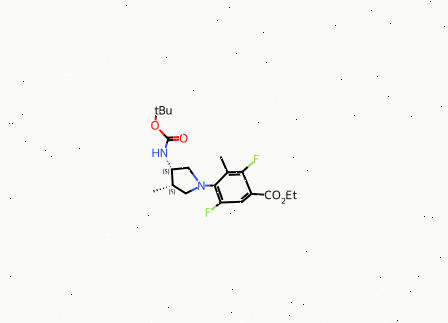 CCOC(=O)c1cc(F)c(N2C[C@H](C)[C@H](NC(=O)OC(C)(C)C)C2)c(C)c1F